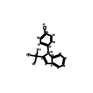 FC(F)(F)c1cc2ccccc2n1-c1ccc(Cl)cc1